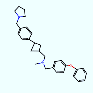 CN(Cc1ccc(Oc2ccccc2)cc1)CC1CC(c2ccc(CN3CCCC3)cc2)C1